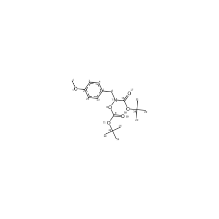 COc1ccc(CN(OC(=O)OC(C)(C)C)C(=O)OC(C)(C)C)cc1